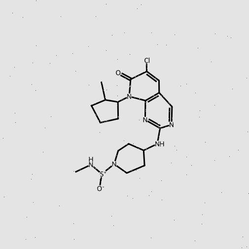 CN[S+]([O-])N1CCC(Nc2ncc3cc(Cl)c(=O)n(C4CCCC4C)c3n2)CC1